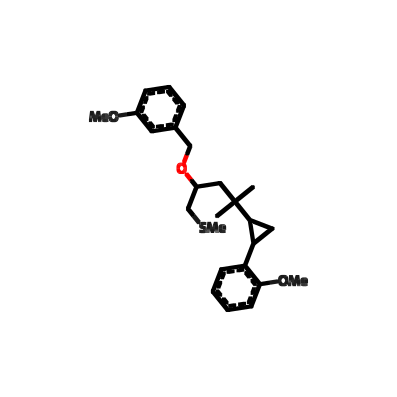 COc1cccc(COC(CSC)CC(C)(C)C2CC2c2ccccc2OC)c1